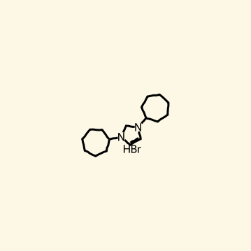 Br.C1=CN(C2CCCCCC2)CN1C1CCCCCC1